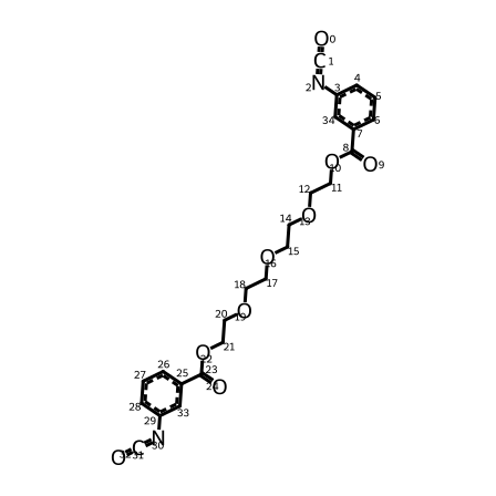 O=C=Nc1cccc(C(=O)OCCOCCOCCOCCOC(=O)c2cccc(N=C=O)c2)c1